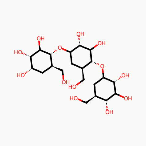 OC[C@H]1CC(O[C@H]2C(O)[C@@H](O)C(O[C@H]3C(O)[C@@H](O)[C@@H](O)C[C@@H]3CO)C[C@@H]2CO)[C@H](O)C(O)[C@@H]1O